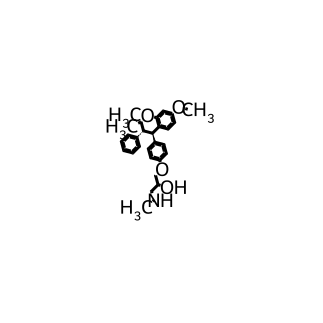 CNCC(O)COc1ccc([C@@H]2c3ccc(OC)cc3OC(C)(C)[C@H]2c2ccccc2)cc1